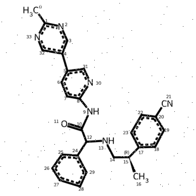 Cc1ncc(-c2ccc(NC(=O)C(NC[C@H](C)c3ccc(C#N)cc3)c3ccccc3)nc2)cn1